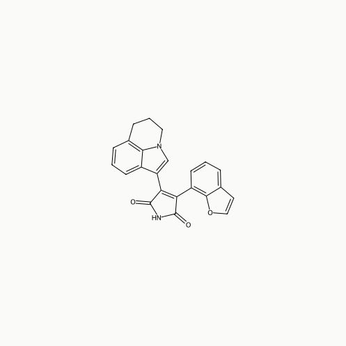 O=C1NC(=O)C(c2cccc3ccoc23)=C1c1cn2c3c(cccc13)CCC2